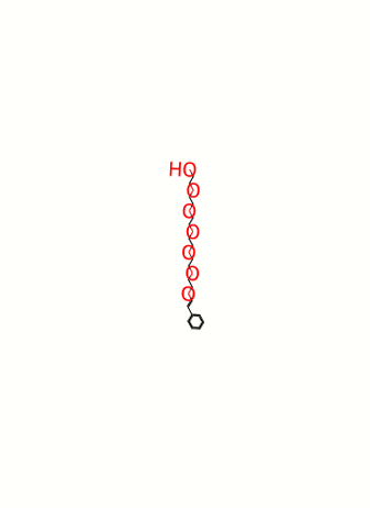 OCCOCCOCCOCCOCCOCCOC=Cc1ccccc1